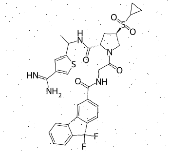 CC(NC(=O)[C@@H]1C[C@@H](S(=O)(=O)C2CC2)CN1C(=O)CNC(=O)c1ccc2c(c1)-c1ccccc1C2(F)F)c1cc(C(=N)N)cs1